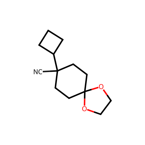 N#CC1(C2CCC2)CCC2(CC1)OCCO2